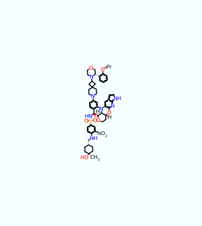 CC(C)Oc1ccccc1[C@H]1COCCN1C1CC2(CCN(c3ccc(C(=O)NS(=O)(=O)c4ccc(NC[C@H]5CC[C@](C)(O)CC5)c([N+](=O)[O-])c4)c(N4c5cc6cc[nH]c6nc5O[C@@H]5CCOC[C@H]54)c3)CC2)C1